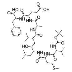 CSCCC(NC(=O)C(NC(=O)OC(C)(C)C)C(C)C)C(=O)NC(CC(C)C)C(O)CC(C(=O)NC(C)C(=O)NC(CCC(=O)O)C(=O)NC(Cc1ccccc1)C(=O)O)C(C)C